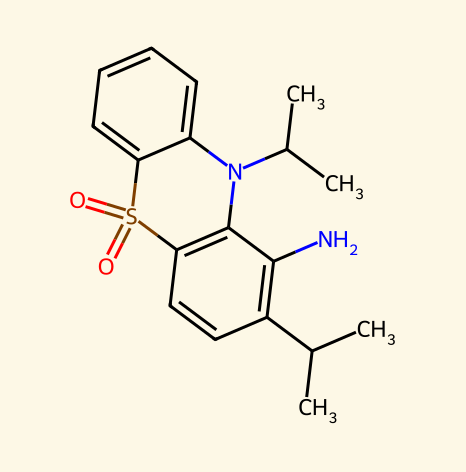 CC(C)c1ccc2c(c1N)N(C(C)C)c1ccccc1S2(=O)=O